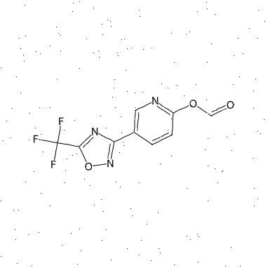 O=COc1ccc(-c2noc(C(F)(F)F)n2)cn1